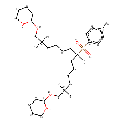 [C-]#[N+]C(CCCCC(C)(C)COC1CCCCO1)(CCCCC(C)(C)COC1CCCCO1)S(=O)(=O)c1ccc(C)cc1